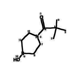 CC(C)(C)C(=O)N1CCB(O)CC1